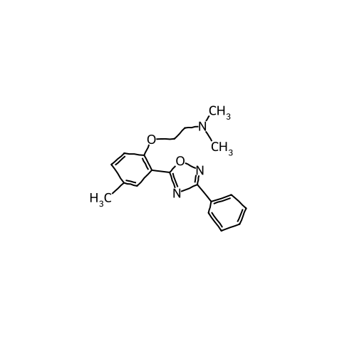 Cc1ccc(OCCN(C)C)c(-c2nc(-c3ccccc3)no2)c1